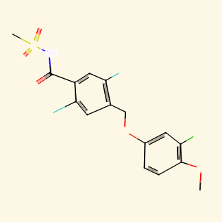 CS(=O)(=O)NC(=O)c1cc(F)c(COc2ccc(OC(F)(F)F)c(Cl)c2)cc1F